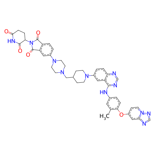 Cc1cc(Nc2ncnc3ccc(N4CCC(CN5CCN(c6ccc7c(c6)C(=O)N(C6CCC(=O)NC6=O)C7=O)CC5)CC4)cc23)ccc1Oc1ccn2ncnc2c1